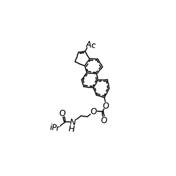 CC(=O)C1=CCc2c1ccc1c2ccc2cc(OC(=O)OCCNC(=O)C(C)C)ccc21